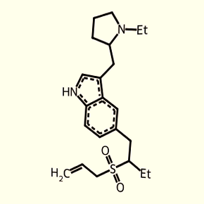 C=CCS(=O)(=O)C(CC)Cc1ccc2[nH]cc(CC3CCCN3CC)c2c1